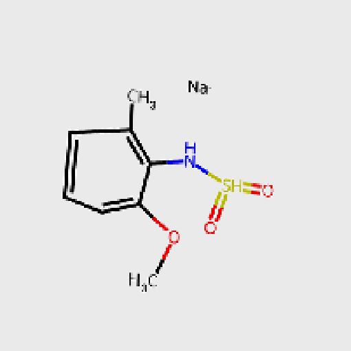 COc1cccc(C)c1N[SH](=O)=O.[Na]